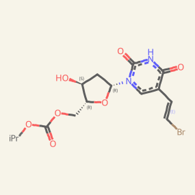 CC(C)OC(=O)OC[C@H]1O[C@@H](n2cc(/C=C/Br)c(=O)[nH]c2=O)C[C@@H]1O